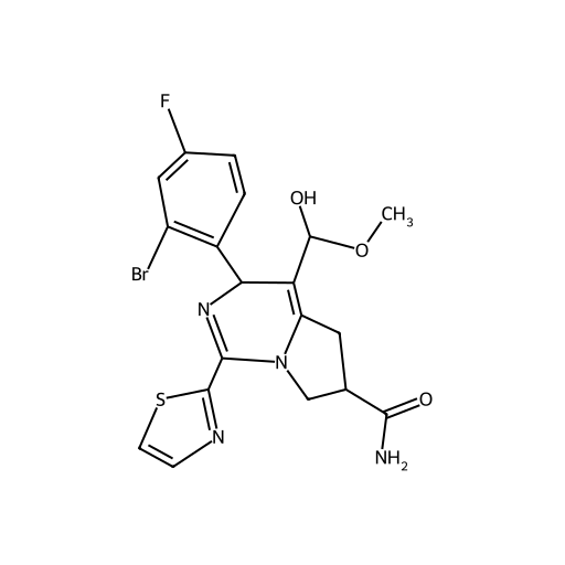 COC(O)C1=C2CC(C(N)=O)CN2C(c2nccs2)=NC1c1ccc(F)cc1Br